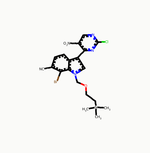 C[Si](C)(C)CCOCn1cc(-c2nc(Cl)ncc2[N+](=O)[O-])c2ccc(C#N)c(Br)c21